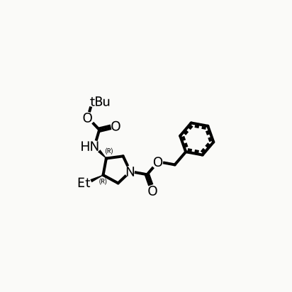 CC[C@@H]1CN(C(=O)OCc2ccccc2)C[C@@H]1NC(=O)OC(C)(C)C